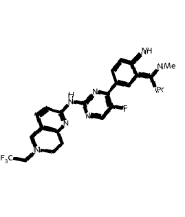 CN/C(=C1/C=C(c2nc(Nc3ccc4c(n3)CCN(CC(F)(F)F)C4)ncc2F)C=CC1=N)C(C)C